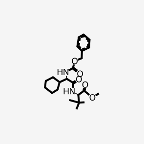 COC(=O)[C@@H](NC(=O)[C@@H](NC(=O)OCc1ccccc1)C1CCCCC1)C(C)(C)C